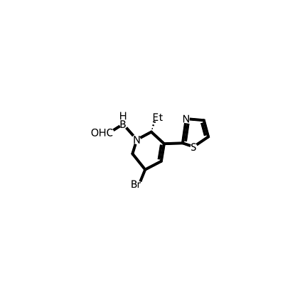 CC[C@@H]1C(c2nccs2)=CC(Br)CN1BC=O